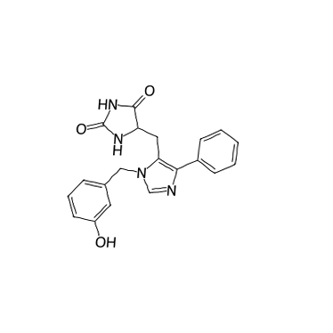 O=C1NC(=O)C(Cc2c(-c3ccccc3)ncn2Cc2cccc(O)c2)N1